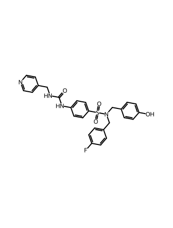 O=C(NCc1ccncc1)Nc1ccc(S(=O)(=O)N(Cc2ccc(O)cc2)Cc2ccc(F)cc2)cc1